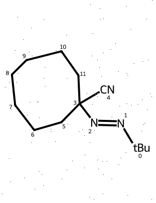 CC(C)(C)/N=N/C1(C#N)CCCCCCC1